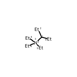 CCC(CC)[N+](CC)(CC)CC